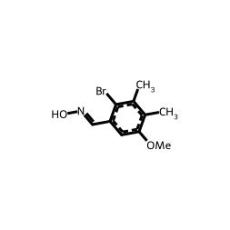 COc1cc(/C=N/O)c(Br)c(C)c1C